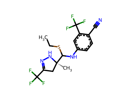 CCSC(Nc1ccc(C#N)c(C(F)(F)F)c1)[C@@]1(C)CC(C(F)(F)F)=NN1